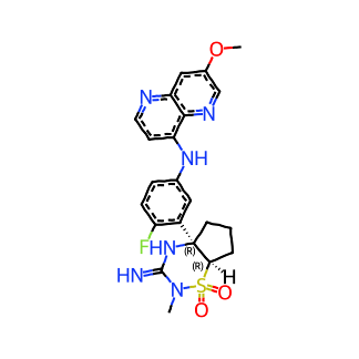 COc1cnc2c(Nc3ccc(F)c([C@]45CCC[C@H]4S(=O)(=O)N(C)C(=N)N5)c3)ccnc2c1